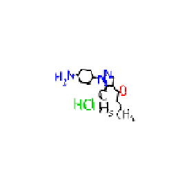 CCCC(=O)c1cnn(C2CCC(N)CC2)c1C.Cl